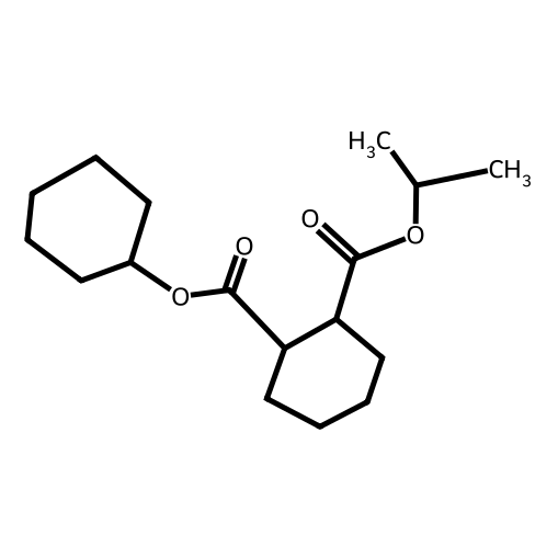 CC(C)OC(=O)C1CCCCC1C(=O)OC1CCCCC1